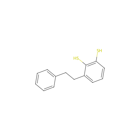 Sc1cccc(CCc2ccccc2)c1S